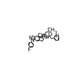 CCCC(C[C@H]1CCC2=Cc3c(cnn3-c3ccc(F)cc3)C[C@@]21C)NC(=O)Cc1cccnc1